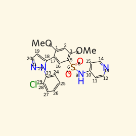 COc1cc(OC)c(S(=O)(=O)Nc2ccncc2)cc1-c1ccnn1-c1ccccc1Cl